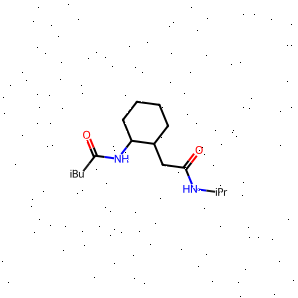 CCC(C)C(=O)NC1CCCCC1CC(=O)NC(C)C